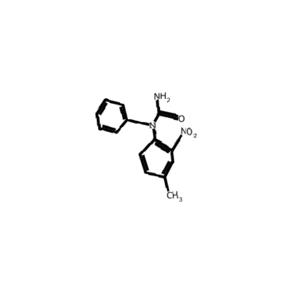 Cc1ccc(N(C(N)=O)c2ccccc2)c([N+](=O)[O-])c1